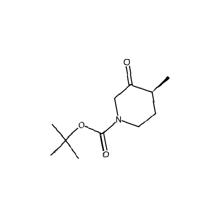 C[C@H]1CCN(C(=O)OC(C)(C)C)CC1=O